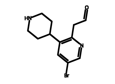 O=CCc1ncc(Br)cc1C1CCNCC1